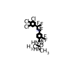 CNC(=O)C(C)NC(=O)c1ccc(/C(F)=C/C(c2cc(Cl)c(Cl)c(Cl)c2)C(F)(F)F)cc1C(F)(F)F